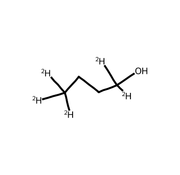 [2H]C([2H])([2H])CCC([2H])([2H])O